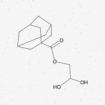 O=C(OCC(O)O)C12CC3CC(CC(C3)C1)C2